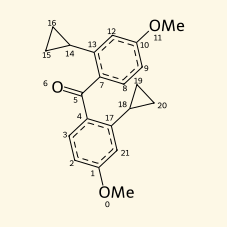 COc1ccc(C(=O)c2ccc(OC)cc2C2CC2)c(C2CC2)c1